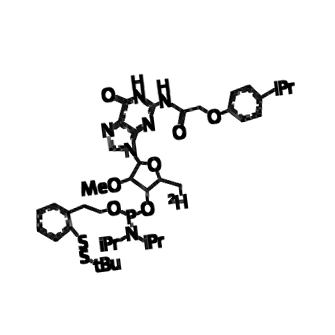 [2H]CC1OC(n2cnc3c(=O)[nH]c(NC(=O)COc4ccc(C(C)C)cc4)nc32)C(OC)C1OP(OCCc1ccccc1SSC(C)(C)C)N(C(C)C)C(C)C